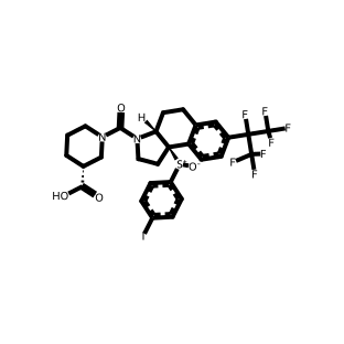 O=C(O)[C@@H]1CCCN(C(=O)N2CC[C@@]3([S+]([O-])c4ccc(I)cc4)c4ccc(C(F)(C(F)(F)F)C(F)(F)F)cc4CC[C@@H]23)C1